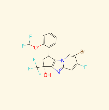 O[C@]1(C(F)(F)F)CC(c2ccccc2OC(F)F)c2c1nc1cc(F)c(Br)cn21